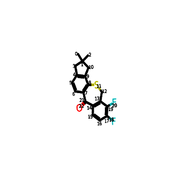 CC1(C)Cc2ccc3c(c2C1)SCc1c(ccc(F)c1F)C3=O